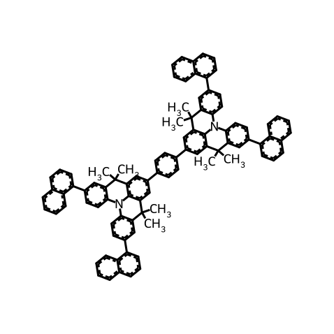 CC1(C)c2cc(-c3cccc4ccccc34)ccc2N2c3ccc(-c4cccc5ccccc45)cc3C(C)(C)c3cc(-c4ccc(-c5cc6c7c(c5)C(C)(C)c5cc(-c8cccc9ccccc89)ccc5N7c5ccc(-c7cccc8ccccc78)cc5C6(C)C)cc4)cc1c32